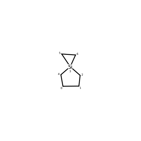 C1CC[Si]2(C1)CC2